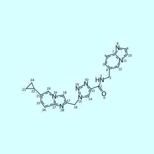 O=C(NCc1ccc2nccn2c1)c1cn(Cc2cn3cc(C4CC4)ccc3n2)nn1